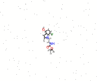 COc1ccc(F)c2c1cc(C)n2CCNC(=O)OC(C)(C)C